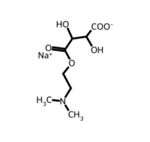 CN(C)CCOC(=O)C(O)C(O)C(=O)[O-].[Na+]